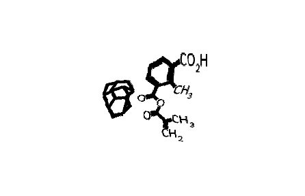 C1C2CC3C4CC5CC(C14)C(C2)C3C5.C=C(C)C(=O)OC(=O)c1cccc(C(=O)O)c1C